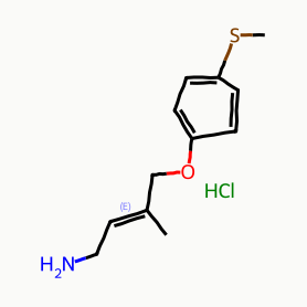 CSc1ccc(OC/C(C)=C/CN)cc1.Cl